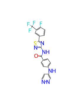 O=C(Nc1nsc(-c2ccc(F)c(C(F)(F)F)c2)n1)c1ccc(Nc2ccnnc2)cc1